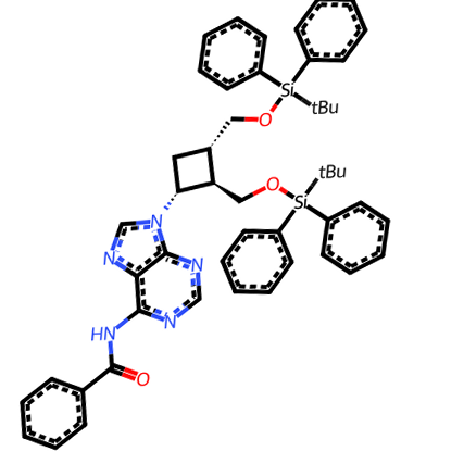 CC(C)(C)[Si](OC[C@H]1C[C@@H](n2cnc3c(NC(=O)c4ccccc4)ncnc32)[C@@H]1CO[Si](c1ccccc1)(c1ccccc1)C(C)(C)C)(c1ccccc1)c1ccccc1